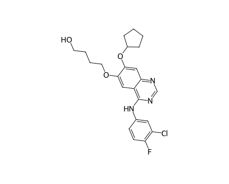 OCCCCOc1cc2c(Nc3ccc(F)c(Cl)c3)ncnc2cc1OC1CCCC1